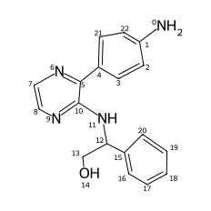 Nc1ccc(-c2nccnc2NC(CO)c2ccccc2)cc1